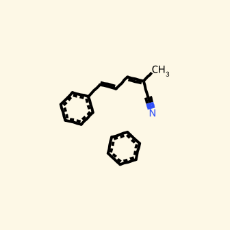 CC(C#N)=CC=Cc1ccccc1.c1ccccc1